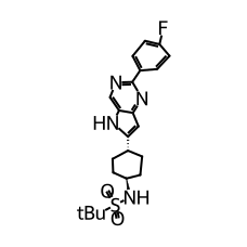 CC(C)(C)S(=O)(=O)N[C@H]1CC[C@H](c2cc3nc(-c4ccc(F)cc4)ncc3[nH]2)CC1